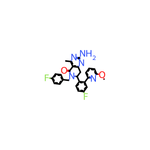 COc1cccc(-c2cc(F)ccc2C2Cc3nc(N)nc(C)c3C(=O)N2Cc2ccc(F)cc2)n1